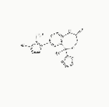 CC1(c2ccco2)OCC(=O)Nc2ccc(-c3ccc(C#N)n3C(=O)O)cc21